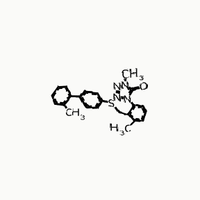 Cc1ccccc1-c1ccc(SCc2c(C)cccc2-n2nnn(C)c2=O)cc1